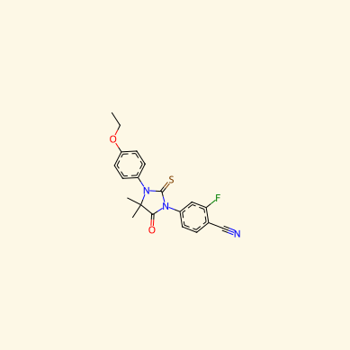 CCOc1ccc(N2C(=S)N(c3ccc(C#N)c(F)c3)C(=O)C2(C)C)cc1